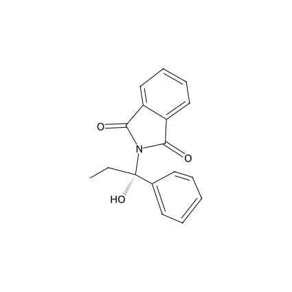 CC[C@](O)(c1ccccc1)N1C(=O)c2ccccc2C1=O